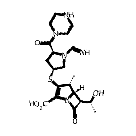 C[C@@H](O)[C@H]1C(=O)N2C(C(=O)O)=C(S[C@H]3C[C@@H](C(=O)N4CCNCC4)N(C=N)C3)[C@H](C)[C@H]12